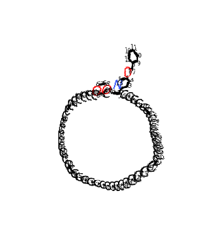 C1=C(c2ccc(OCc3ccccc3)cn2)CCCCCCCCCCCCCCCCCCCCCCCCCCCCCCCCCCCCCCCCCCCCCCCCC2(C1)OCCO2